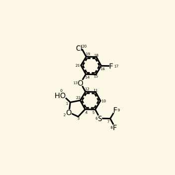 OC1OCc2c(SC(F)F)ccc(Oc3cc(F)cc(Cl)c3)c21